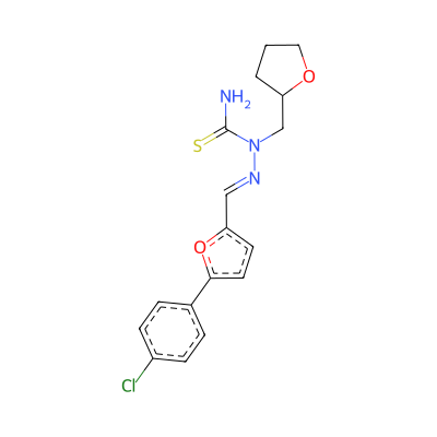 NC(=S)N(CC1CCCO1)N=Cc1ccc(-c2ccc(Cl)cc2)o1